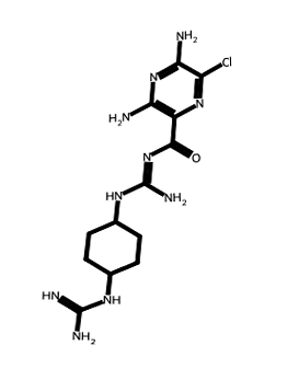 N=C(N)NC1CCC(N/C(N)=N/C(=O)c2nc(Cl)c(N)nc2N)CC1